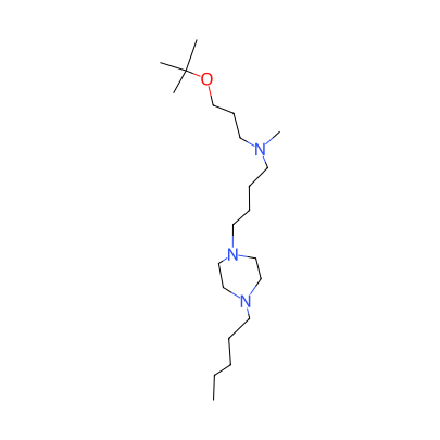 CCCCCN1CCN(CCCCN(C)CCCOC(C)(C)C)CC1